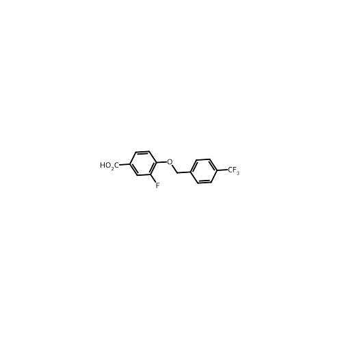 O=C(O)c1ccc(OCc2ccc(C(F)(F)F)cc2)c(F)c1